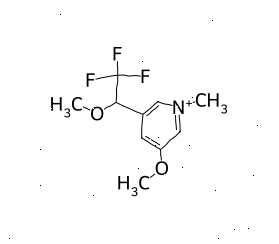 COc1cc(C(OC)C(F)(F)F)c[n+](C)c1